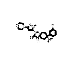 Cn1nc(N2CCOCC2)cc1N1C[C@]2(CC[C@](c3cccc(F)c3)(N(C)C)CC2)NC1=O